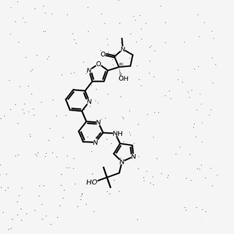 CN1CC[C@@](O)(c2cc(-c3cccc(-c4ccnc(Nc5cnn(CC(C)(C)O)c5)n4)n3)no2)C1=O